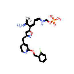 C=C(N)/C(=C\C=C/NCOP(=O)(O)O)c1cc(Cc2ccnc(OCc3ccccc3F)c2)no1